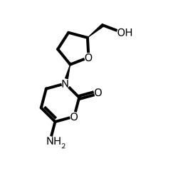 NC1=CCN([C@H]2CC[C@@H](CO)O2)C(=O)O1